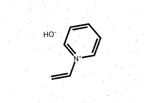 C=C[n+]1ccccc1.[OH-]